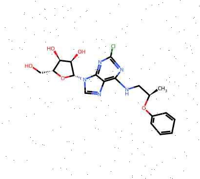 C[C@H](CNc1nc(Cl)nc2c1ncn2[C@@H]1O[C@H](CO)[C@@H](O)[C@H]1O)Oc1ccccc1